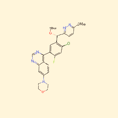 COc1ccc([C@@H](OC(C)(C)C)c2cc(-c3ncnc4cc(N5CCOCC5)ccc34)c(F)cc2Cl)nn1